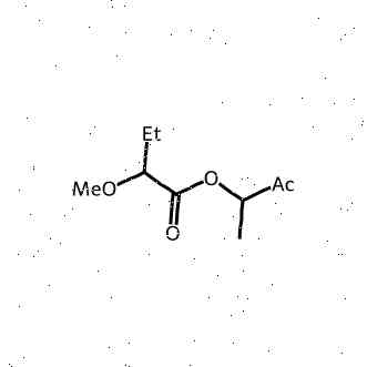 CCC(OC)C(=O)OC(C)C(C)=O